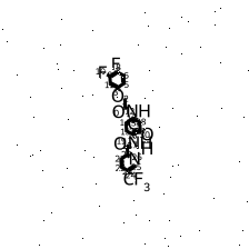 O=C(COc1ccc(F)c(F)c1)NC12CCC(NC(=O)c3ccc(C(F)(F)F)cn3)(CC1)C(O)C2